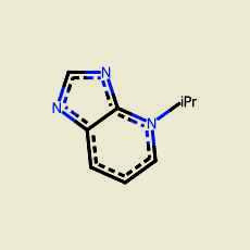 CC(C)n1cccc2ncnc1-2